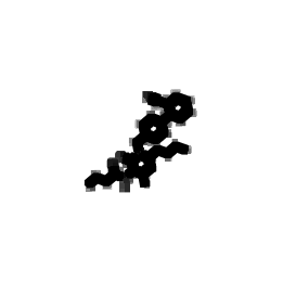 CCCCc1cc(C)c(NC(=O)CCC)c(=O)n1Cc1ccc(-c2ccccc2C#N)cc1